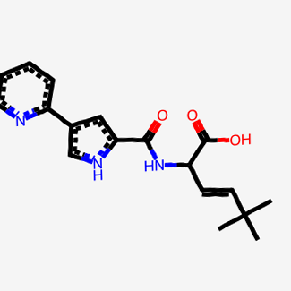 CC(C)(C)/C=C/C(NC(=O)c1cc(-c2ccccn2)c[nH]1)C(=O)O